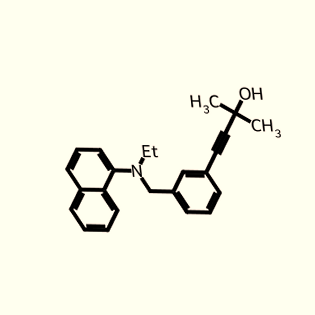 CCN(Cc1cccc(C#CC(C)(C)O)c1)c1cccc2ccccc12